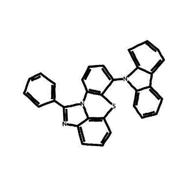 c1ccc(-c2nc3cccc4c3n2-c2cccc(-n3c5ccccc5c5ccccc53)c2S4)cc1